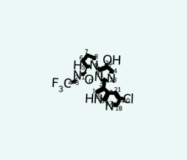 O=C(NCC(F)(F)F)[C@H]1CCCN1c1nc(-c2c[nH]c3ncc(Cl)cc23)ncc1O